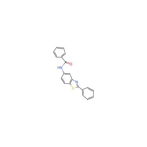 O=C(Nc1ccc2sc(-c3ccccc3)nc2c1)c1ccccc1